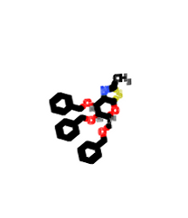 CC1=NC2C(O[C@H](COCc3ccccc3)[C@@H](OCc3ccccc3)[C@@H]2OCc2ccccc2)S1